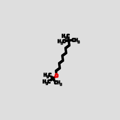 CC(C)(C)CCCCCCCCOC(C)(C)C